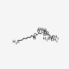 CCCCCCCCC(=O)OC[C@H](COP(=O)(O)OCC[N+](C)(C)C)OO